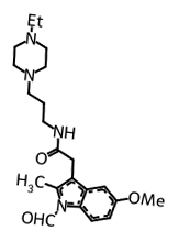 CCN1CCN(CCCNC(=O)Cc2c(C)n(C=O)c3ccc(OC)cc23)CC1